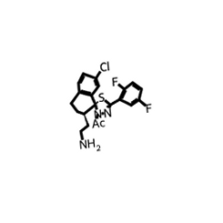 CC(=O)N1N=C(c2cc(F)ccc2F)S[C@]12c1cc(Cl)ccc1CC[C@@H]2CCN